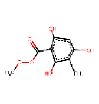 COOC(=O)c1c(O)cc(O)c(C)c1O